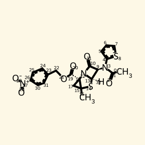 CC(=O)N(c1cccs1)[C@@H]1C(=O)N2[C@@H]1SC1(C)C[C@@]21C(=O)OCc1ccc([N+](=O)[O-])cc1